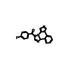 O=C(c1ccc(F)cc1)N1C=NC2c3ccccc3-n3cncc3N21